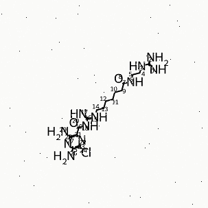 N=C(N)NCCNC(=O)CCCCCCNC(=N)NC(=O)c1nc(Cl)c(N)nc1N